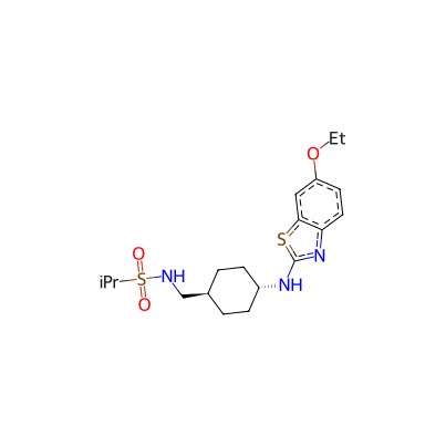 CCOc1ccc2nc(N[C@H]3CC[C@H](CNS(=O)(=O)C(C)C)CC3)sc2c1